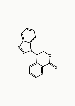 O=C1OCC(n2cnc3ccccc32)c2ccccc21